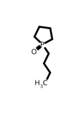 CCCCP1(=O)CCCC1